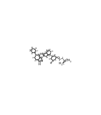 CN(C)CCOc1cc(F)cc(-c2ccnc3[nH]c(-c4n[nH]c5ccc(-c6cccnc6)nc45)cc23)c1